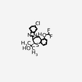 CC(C)(O)[C@@H]1Sc2cccc(OC(F)F)c2[C@H]2CC1c1nc3ccc(Cl)cc3n12